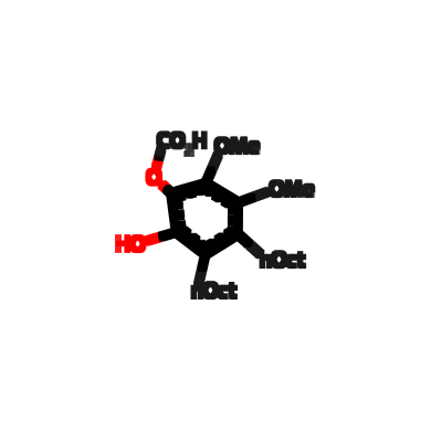 CCCCCCCCc1c(O)c(OC(=O)O)c(OC)c(OC)c1CCCCCCCC